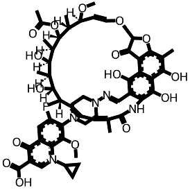 COc1c(N2CCN(/N=C/c3c4c(O)c5c(O)c(C)c6c(c5c3O)C(=O)[C@@](C)(O/C=C/[C@H](OC)[C@@H](C)[C@@H](OC(C)=O)[C@H](C)[C@H](O)[C@H](C)[C@@H](O)[C@@H](C)/C=C/C=C(/C)C(=O)N4)O6)CC2)c(F)cc2c(=O)c(C(=O)O)cn(C3CC3)c12